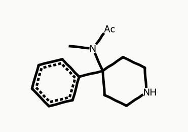 CC(=O)N(C)C1(c2ccccc2)CCNCC1